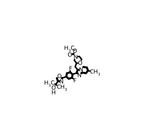 COC(=O)N1CCOC(Cc2c(-c3c(F)cc(-c4nc(C(C)(C)O)co4)cc3F)nc3cc(C)ccn23)C1